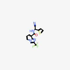 N#CC(NC(=O)c1cccn2cc(C(F)(F)F)nc12)c1cccs1